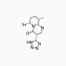 [2H]c1ccc(C)c2ncc(-c3nnn[nH]3)c(=O)n12